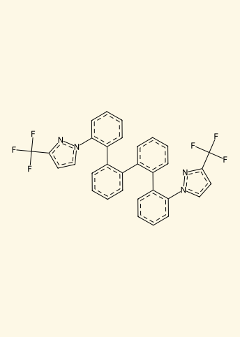 FC(F)(F)c1ccn(-c2ccccc2-c2ccccc2-c2ccccc2-c2ccccc2-n2ccc(C(F)(F)F)n2)n1